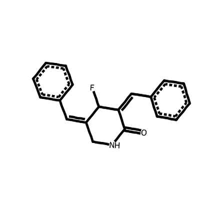 O=C1NCC(=Cc2ccccc2)C(F)C1=Cc1ccccc1